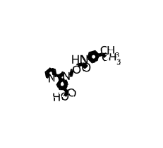 CC(C)c1ccc(NC(=O)COCCn2cc(-c3ccccn3)c3ccc(C(=O)O)cc32)cc1